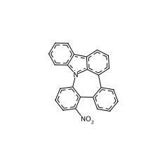 O=[N+]([O-])c1cccc2c1-c1ccccc1-c1cccc3c4ccccc4n-2c13